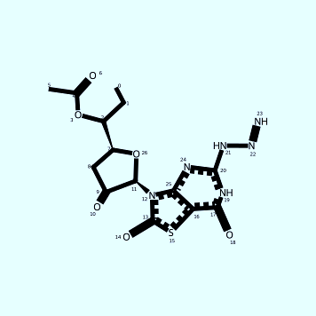 CCC(OC(C)=O)[C@@H]1CC(=O)[C@H](n2c(=O)sc3c(=O)[nH]c(NN=N)nc32)O1